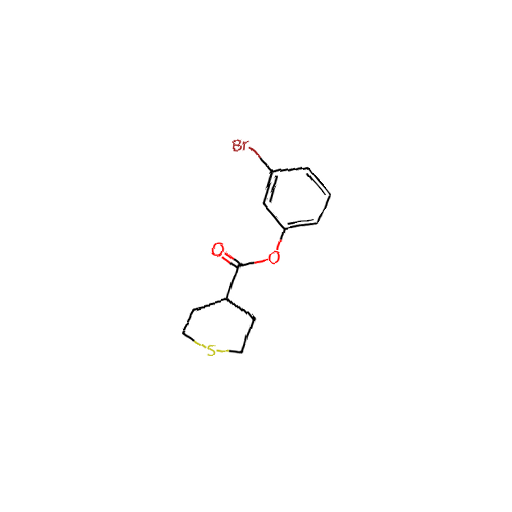 O=C(Oc1cccc(Br)c1)C1CCSCC1